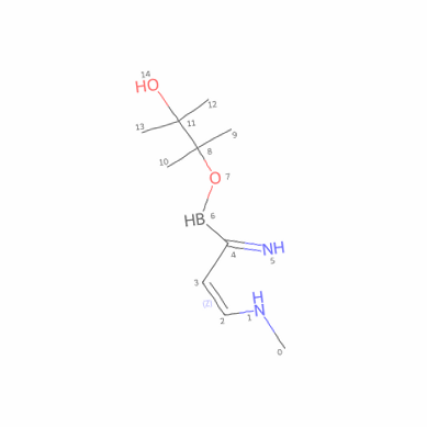 CN/C=C\C(=N)BOC(C)(C)C(C)(C)O